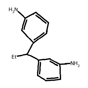 CCC(c1cccc(N)c1)c1cccc(N)c1